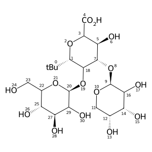 CC(C)(C)[C@@H]1OC(C(=O)O)[C@@H](O)[C@H](O[C@@H]2OC[C@@H](O)[C@@H](O)C2O)C1O[C@@H]1OC(CO)[C@@H](O)[C@H](O)C1O